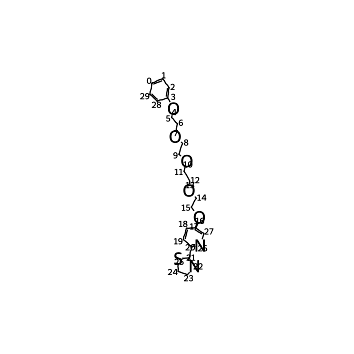 c1ccc(OCCOCCOCCOCCOc2ccc(C3=NCCS3)nc2)cc1